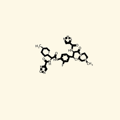 C[C@@H](c1ccc(NC(=O)[C@@H](NC(=O)c2cnon2)[C@H]2CC[C@H](C)CC2)c(F)c1)[C@@H](NC(=O)c1cnns1)C(=O)N1CCN(C)CC1